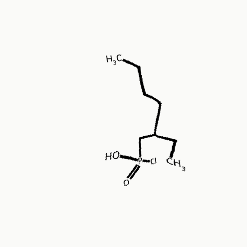 CCCCC(CC)CP(=O)(O)Cl